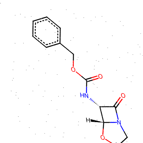 O=C(N[C@@H]1C(=O)N2CCO[C@H]12)OCc1ccccc1